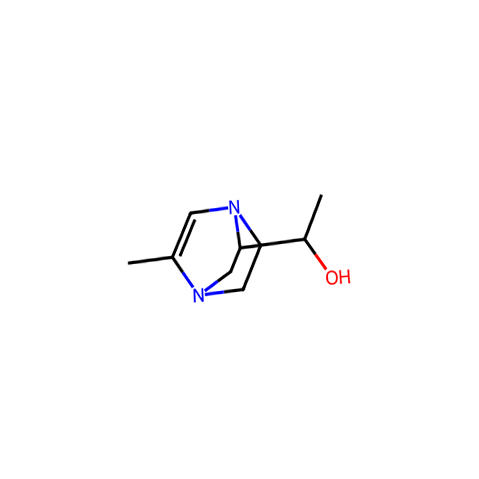 CC1=CN2CCN1CC2C(C)O